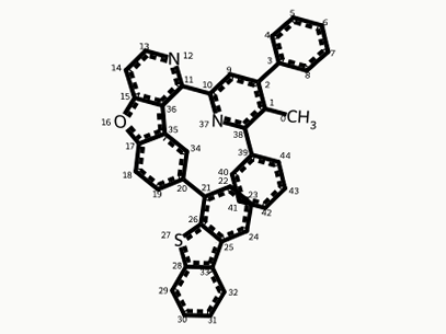 Cc1c(-c2ccccc2)cc(-c2nccc3oc4ccc(-c5cccc6c5sc5ccccc56)cc4c23)nc1-c1ccccc1